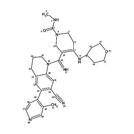 CNC(=O)N1CCC(NC2CCOCC2)=C(C(=N)N2CCCc3cc(-c4ccncc4C)c(C#N)cc32)C1